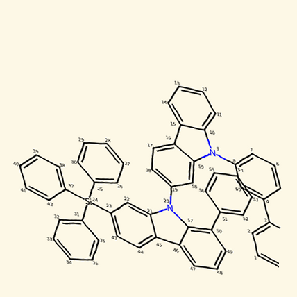 c1ccc(-c2cccc(-n3c4ccccc4c4ccc(-n5c6cc([Si](c7ccccc7)(c7ccccc7)c7ccccc7)ccc6c6cccc(-c7ccccc7)c65)cc43)c2)cc1